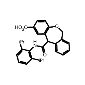 CC(C)c1cccc(C(C)C)c1NC(=O)C1c2ccccc2COc2ccc(C(=O)O)cc21